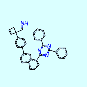 N=CC1(c2ccc(-c3ccc4cccc(-c5nc(-c6ccccc6)nc(-c6ccccc6)n5)c4c3)cc2)C=CC1